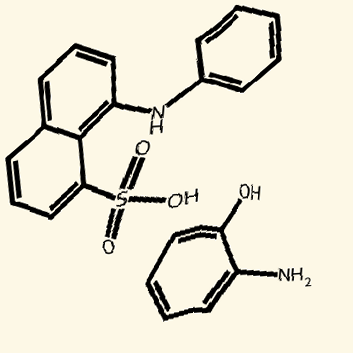 Nc1ccccc1O.O=S(=O)(O)c1cccc2cccc(Nc3ccccc3)c12